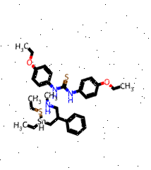 CCOc1ccc(NC(=S)Nc2ccc(OCC)cc2)cc1.CC[S][SnH]([CH2]C)[CH2]C(CNC)c1ccccc1